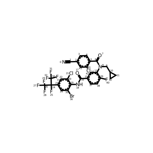 N#Cc1ccc(C(=O)N(CC2CC2)c2cc(C(=O)Nc3c(Cl)cc(C(F)(C(F)(F)F)C(F)(F)F)cc3Br)ccc2F)c(Cl)c1